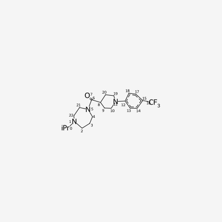 CC(C)N1CCCN(C(=O)C2CCN(c3ccc(C(F)(F)F)cc3)CC2)CC1